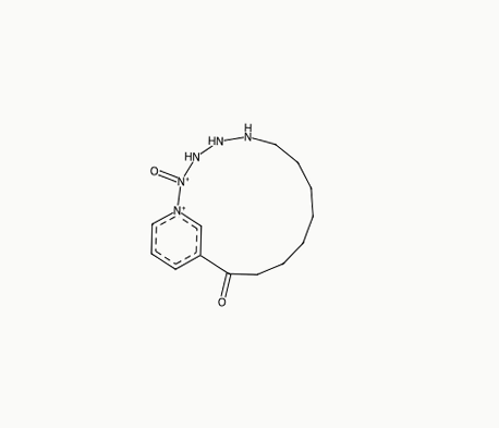 O=C1CCCCCCCNNN[N+](=O)[n+]2cccc1c2